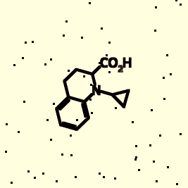 O=C(O)C1CCc2ccccc2N1C1CC1